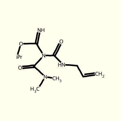 C=CCNC(=O)N(C(=N)OC(C)C)C(=O)N(C)C